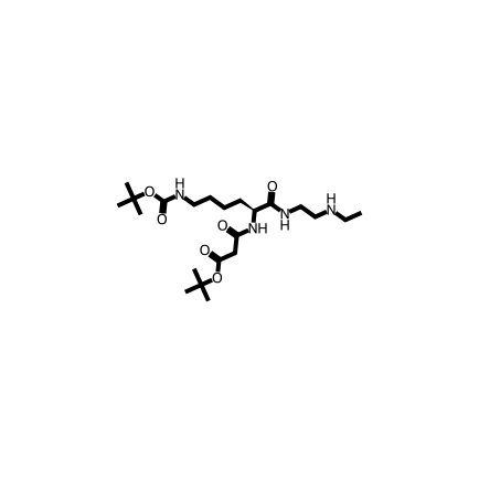 CCNCCNC(=O)[C@H](CCCCNC(=O)OC(C)(C)C)NC(=O)CC(=O)OC(C)(C)C